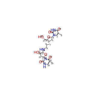 Cc1cn([C@H]2C[C@H](CCCNC3OC(n4c(=O)[nH]cc(C)c4=O)CC3O)[C@@H](CO)O2)c(=O)[nH]c1=O